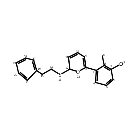 Cc1c([O])cccc1C1=CC=CC(SCCc2ccccc2)O1